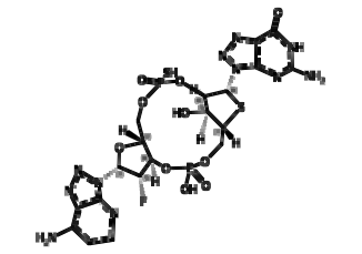 Nc1nc2c(nnn2[C@@H]2S[C@@H]3COP(=O)(O)O[C@H]4[C@H](F)[C@H](n5nnc6c(N)ccnc65)O[C@@H]4COP(=O)(S)O[C@@H]2[C@@H]3O)c(=O)[nH]1